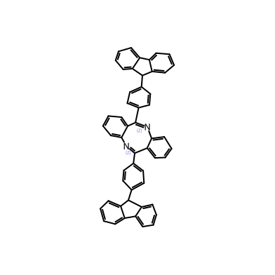 c1ccc2c(c1)/N=C(/c1ccc(C3c4ccccc4-c4ccccc43)cc1)c1ccccc1/N=C\2c1ccc(C2c3ccccc3-c3ccccc32)cc1